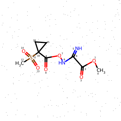 COC(=O)C(=N)NOC(=O)C1(S(C)(=O)=O)CC1